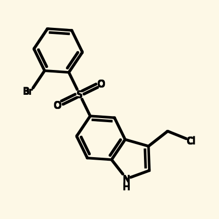 O=S(=O)(c1ccc2[nH]cc(CCl)c2c1)c1ccccc1Br